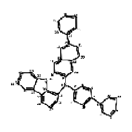 c1ccc(-c2ccc(N(c3ccc4cc(-c5ccccc5)ccc4c3)c3cccc4c3sc3ccncc34)cc2)cc1